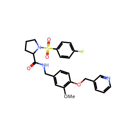 COc1cc(CNC(=O)C2CCCN2S(=O)(=O)c2ccc(F)cc2)ccc1OCc1cccnc1